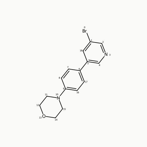 Brc1cncc(-c2ccc(N3CCOCC3)cc2)c1